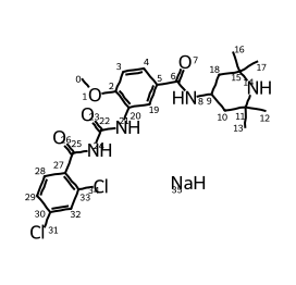 COc1ccc(C(=O)NC2CC(C)(C)NC(C)(C)C2)cc1NC(=O)NC(=O)c1ccc(Cl)cc1Cl.[NaH]